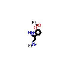 CCC(=O)Oc1cccc2c(CCN(C)CC)c[nH]c12